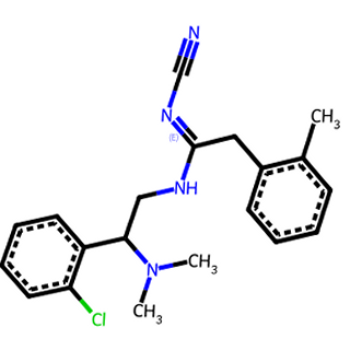 Cc1ccccc1C/C(=N\C#N)NCC(c1ccccc1Cl)N(C)C